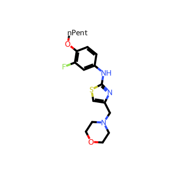 CCCCCOc1ccc(Nc2nc(CN3CCOCC3)cs2)cc1F